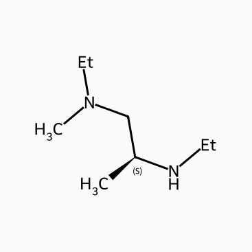 CCN[C@@H](C)CN(C)CC